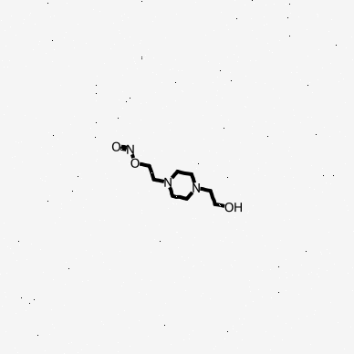 O=NOCCN1CCN(CCO)CC1